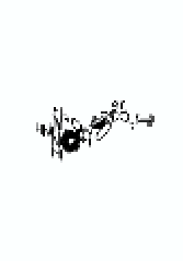 [CH2]CC(NC(=O)CNC(=O)c1cccc(NC(=N)N)c1)C(=O)O